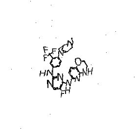 CN1CC2CC1CN2c1ccc(Nc2ncc(F)c(Nc3ccc4c(n3)NCCO4)n2)cc1C(F)(F)F